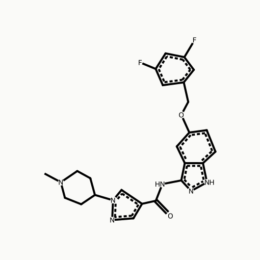 CN1CCC(n2cc(C(=O)Nc3n[nH]c4ccc(OCc5cc(F)cc(F)c5)cc34)cn2)CC1